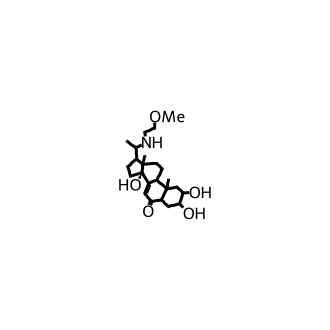 COCCNC(C)C1CC[C@@]2(O)C3=CC(=O)C4CC(O)C(O)CC4(C)C3CCC12C